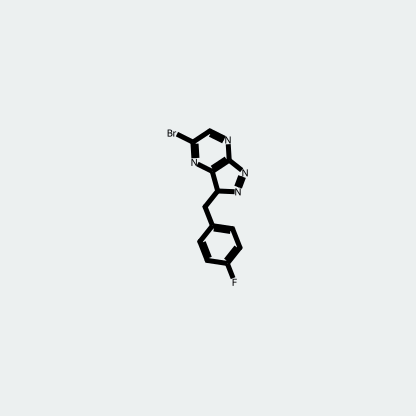 Fc1ccc(CC2N=Nc3ncc(Br)nc32)cc1